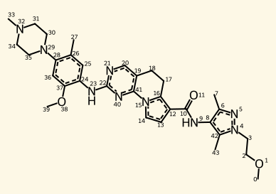 COCCn1nc(C)c(NC(=O)c2ccn3c2CCc2cnc(Nc4cc(C)c(N5CCN(C)CC5)cc4OC)nc2-3)c1C